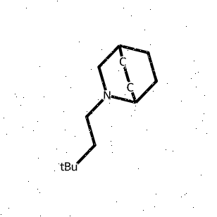 CC(C)(C)CCN1CC2CCC1CC2